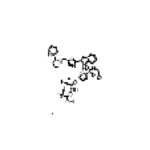 O=C(O)C(F)(F)F.O=C(O)C(F)(F)F.O=S(=O)(c1cccs1)N(CC1CC1)c1cccc2cc(-c3ncc(CN4CCCC4c4ccccn4)s3)[nH]c12